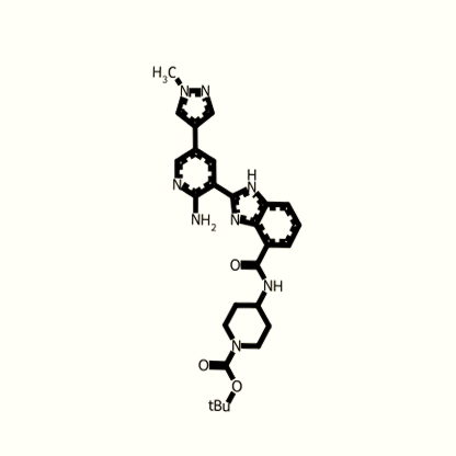 Cn1cc(-c2cnc(N)c(-c3nc4c(C(=O)NC5CCN(C(=O)OC(C)(C)C)CC5)cccc4[nH]3)c2)cn1